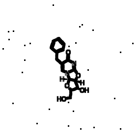 O=c1nc2n(cc1Cc1ccccc1)[C@@H]1OC(CO)[C@H](O)[C@H]1O2